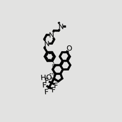 CN(C)CCN1CCN(Cc2ccc([C@H]3C[C@@]4(C)C(CC[C@@]4(O)C(F)(F)C(F)(F)F)C4CCC5=CC(=O)CCC5=C43)cc2)CC1